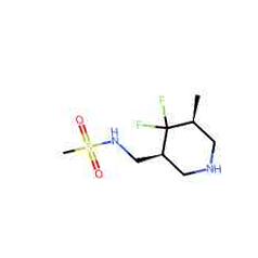 C[C@H]1CNC[C@@H](CNS(C)(=O)=O)C1(F)F